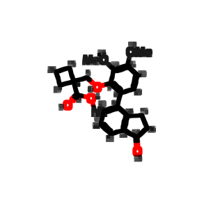 CCCOC(=O)C1(COc2c(-c3cccc4c3CCC4=O)ccc(OC)c2OC)CCC1